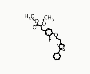 CCOC(=O)C(Cc1ccc(OCCc2csc(-c3ccccc3)n2)c(F)c1)OCC